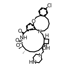 C[C@@H]1[C@@H](C)CCCC(O)(CN2CCNCC2)[C@@H]2CC[C@H]2CN2CCCCc3cc(Cl)ccc3COc3ccc(cc32)C(=O)NS1(=O)=O